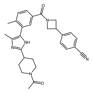 CC(=O)N1CCC(c2nc(C)c(-c3cc(C(=O)N4CC(c5ccc(C#N)cc5)C4)ccc3C)[nH]2)CC1